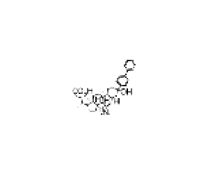 C[C@H](CCC(=O)O)[C@H]1CC[C@H]2[C@@H]3[C@H](N(C)C)C[C@@H]4C[C@@](O)(c5ccc(-c6ccccc6)cc5)CC[C@]4(C)[C@H]3CC[C@]12C